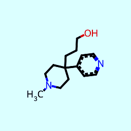 CN1CCC(CCCO)(c2ccncc2)CC1